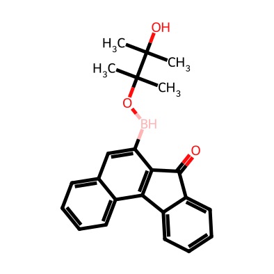 CC(C)(O)C(C)(C)OBc1cc2ccccc2c2c1C(=O)c1ccccc1-2